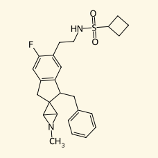 CN1C2C1C21Cc2cc(F)c(CCNS(=O)(=O)C3CCC3)cc2C1Cc1ccccc1